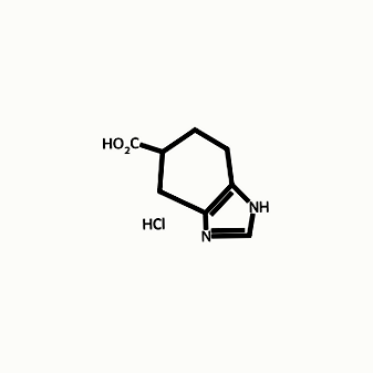 Cl.O=C(O)C1CCc2[nH]cnc2C1